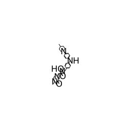 CC1CCN(c2ccc(Nc3ccc(CN(O)C(=O)CN4CCN(C)C(=O)C4)cc3)cc2)CC1